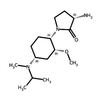 CO[C@@H]1C[C@H](N(C)C(C)C)CC[C@@H]1N1CC[C@H](N)C1=O